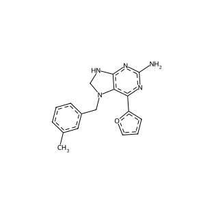 Cc1cccc(CN2CNc3nc(N)nc(-c4ccco4)c32)c1